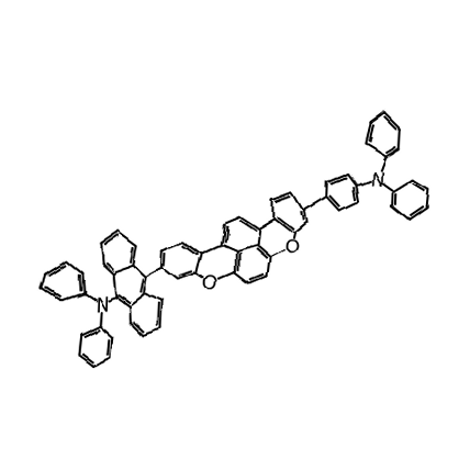 c1ccc(N(c2ccccc2)c2ccc(-c3ccc4c(c3)Oc3ccc5c6c(ccc-4c36)-c3ccc(-c4c6ccccc6c(N(c6ccccc6)c6ccccc6)c6ccccc46)cc3O5)cc2)cc1